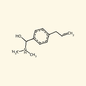 C=CCc1ccc(C(O)[SiH](C)C)cc1